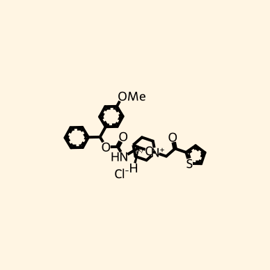 COc1ccc(C(OC(=O)N[C@H]2C[N+]3(CC(=O)c4cccs4)CCC2CC3)c2ccccc2)cc1.[Cl-]